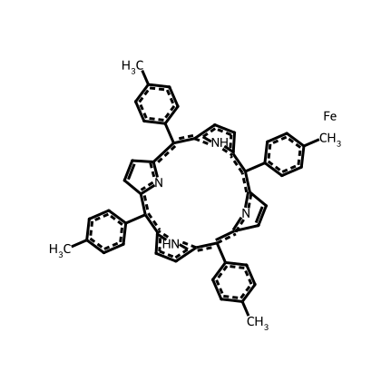 Cc1ccc(-c2c3nc(c(-c4ccc(C)cc4)c4ccc([nH]4)c(-c4ccc(C)cc4)c4nc(c(-c5ccc(C)cc5)c5ccc2[nH]5)C=C4)C=C3)cc1.[Fe]